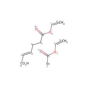 C=COC(=O)CC.C=COC(=O)CC/C=C/C(=O)O